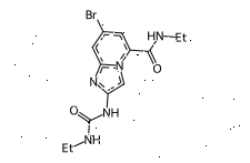 CCNC(=O)Nc1cn2c(C(=O)NCC)cc(Br)cc2n1